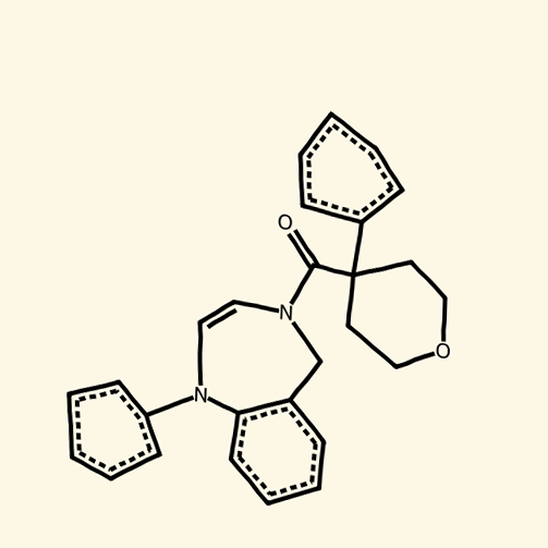 O=C(N1C=CN(c2ccccc2)c2ccccc2C1)C1(c2ccccc2)CCOCC1